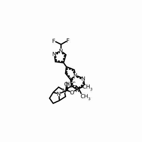 CC(C)(C)OC(=O)N1C2CCC1CN(c1ncnn3cc(-c4cnn(C(F)F)c4)cc13)C2